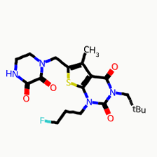 Cc1c(CN2CCNC(=O)C2=O)sc2c1c(=O)n(CC(C)(C)C)c(=O)n2CCCF